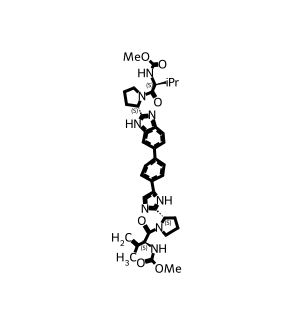 C=C(C)[C@H](NC(=O)OC)C(=O)N1CCC[C@H]1c1ncc(-c2ccc(-c3ccc4nc([C@@H]5CCCN5C(=O)[C@@H](NC(=O)OC)C(C)C)[nH]c4c3)cc2)[nH]1